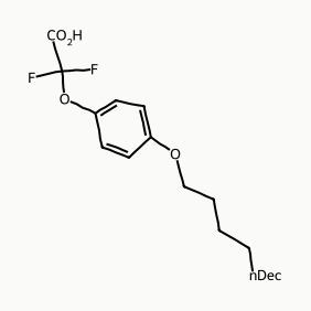 CCCCCCCCCCCCCCOc1ccc(OC(F)(F)C(=O)O)cc1